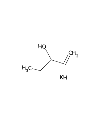 C=CC(O)CC.[KH]